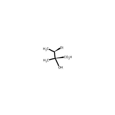 CC[C@H](C)[C@@](C)(O)C(=O)O